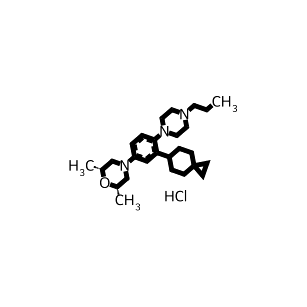 CCCN1CCN(c2ccc(N3C[C@@H](C)O[C@@H](C)C3)cc2C2CCC3(CC2)CC3)CC1.Cl